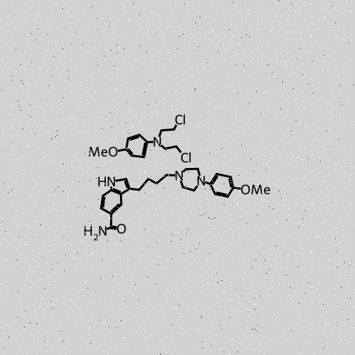 COc1ccc(N(CCCl)CCCl)cc1.COc1ccc(N2CCN(CCCCc3c[nH]c4ccc(C(N)=O)cc34)CC2)cc1